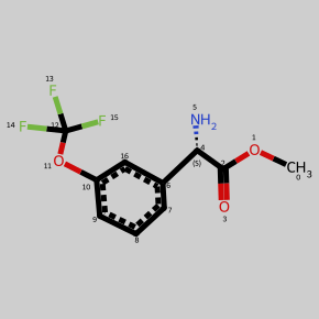 COC(=O)[C@@H](N)c1cccc(OC(F)(F)F)c1